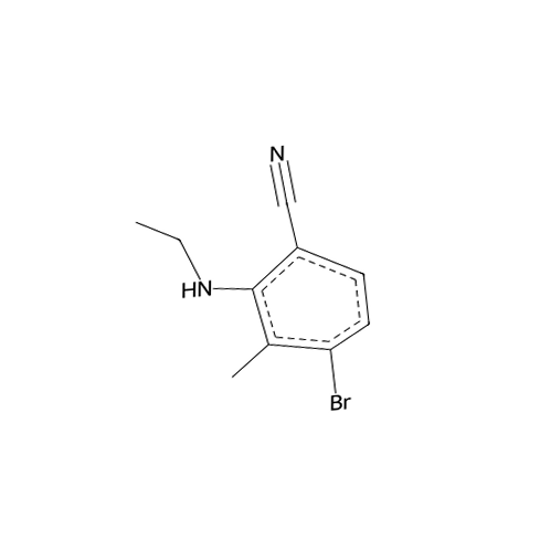 CCNc1c(C#N)ccc(Br)c1C